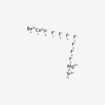 [Ba+2].[Ca+2].[F-].[F-].[F-].[F-].[F-].[F-].[F-].[F-].[Mg+2].[Sr+2]